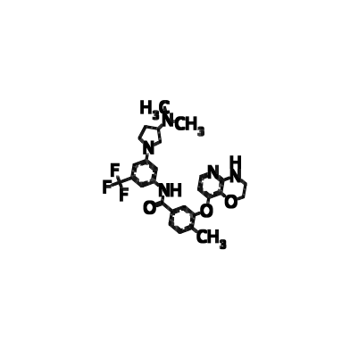 Cc1ccc(C(=O)Nc2cc(N3CCC(N(C)C)C3)cc(C(F)(F)F)c2)cc1Oc1ccnc2c1OCCN2